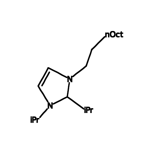 CCCCCCCCCCN1C=CN(C(C)C)C1C(C)C